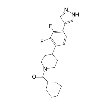 O=C(C1CCCCC1)N1CCC(c2ccc(-c3cn[nH]c3)c(F)c2F)CC1